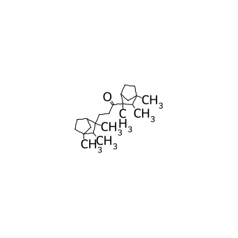 CC1C2(C)CCC(C2)C1(C)CCC(=O)C1(C)C2CCC(C)(C2)C1C